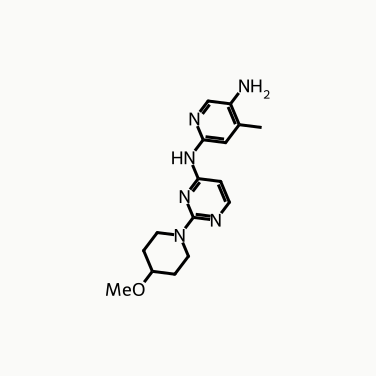 COC1CCN(c2nccc(Nc3cc(C)c(N)cn3)n2)CC1